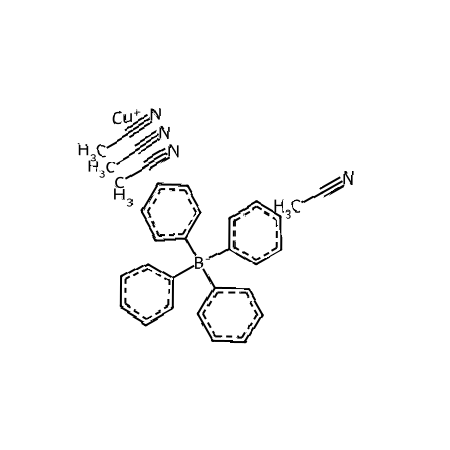 CC#N.CC#N.CC#N.CC#N.[Cu+].c1ccc([B-](c2ccccc2)(c2ccccc2)c2ccccc2)cc1